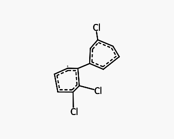 Clc1cccc(-c2[c]ccc(Cl)c2Cl)c1